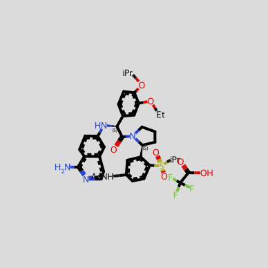 CCOc1cc([C@H](Nc2ccc3c(N)nccc3c2)C(=O)N2CCC[C@H]2c2cc(NC(C)=O)ccc2S(=O)(=O)C(C)C)ccc1OC(C)C.O=C(O)C(F)(F)F